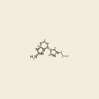 CCCn1cc(-c2cccc3nc(N)nn23)cn1